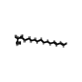 CC=CC=CCCCCCCCCCOC(C)O